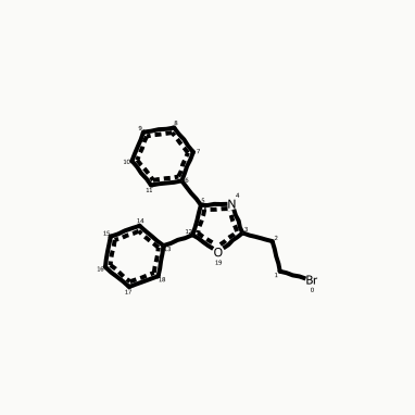 BrCCc1nc(-c2ccccc2)c(-c2ccccc2)o1